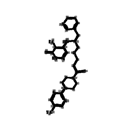 O=C(CCOC[C@H](Cc1cccnc1)Nc1cn[nH]c(=O)c1C(F)(F)F)N1CCN(c2ncc(C(F)(F)F)cn2)CC1